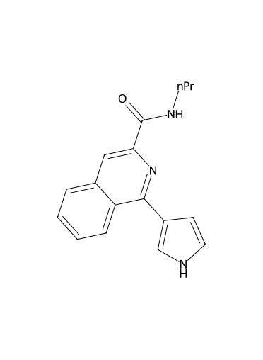 CCCNC(=O)c1cc2ccccc2c(-c2cc[nH]c2)n1